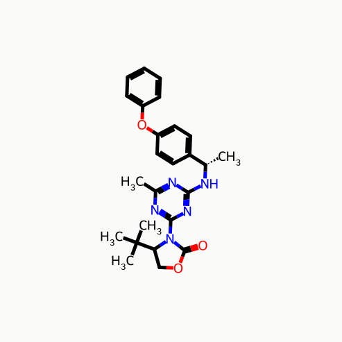 Cc1nc(N[C@@H](C)c2ccc(Oc3ccccc3)cc2)nc(N2C(=O)OCC2C(C)(C)C)n1